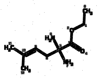 CCOC(=O)C(N)(N)CC=C(C)C